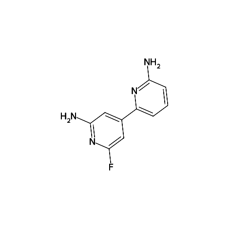 Nc1cc(-c2cccc(N)n2)cc(F)n1